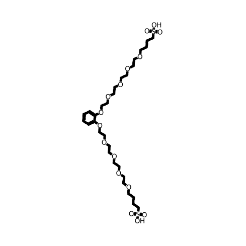 O=S(=O)(O)CCCCOCCOCCOCCOCCOc1ccccc1OCCOCCOCCOCCOCCCCS(=O)(=O)O